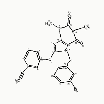 C#Cc1cccc(Oc2nc3c(c(=O)n(C)c(=O)n3C)n2Cc2cccc(Br)c2)c1